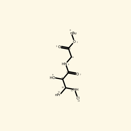 CCCCOC(=O)CNC(=O)C(O)C(CCC)NCl